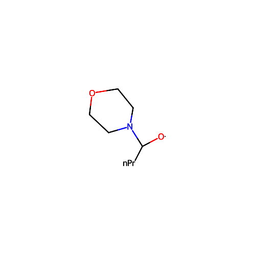 CCCC([O])N1CCOCC1